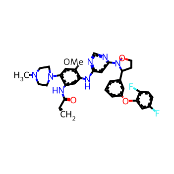 C=CC(=O)Nc1cc(Nc2cc(N3OCCC3c3cccc(Oc4cc(F)ccc4F)c3)ncn2)c(OC)cc1N1CCN(C)CC1